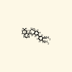 CC1(C)CCc2ncnc(N3CCOc4ccc(-c5ccc(N)c(N)c5)cc4C3)c2C1